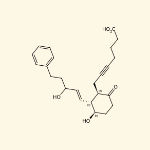 O=C(O)CCCC#CC[C@H]1C(=O)CC[C@@H](O)[C@@H]1C=CC(O)CCc1ccccc1